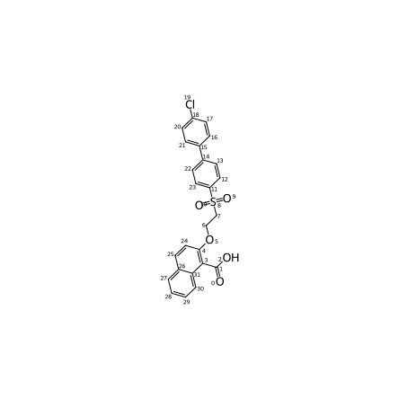 O=C(O)c1c(OCCS(=O)(=O)c2ccc(-c3ccc(Cl)cc3)cc2)ccc2ccccc12